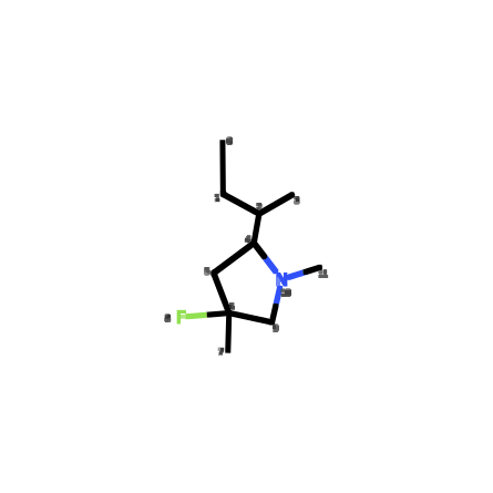 CCC(C)C1CC(C)(F)CN1C